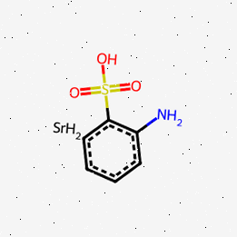 Nc1ccccc1S(=O)(=O)O.[SrH2]